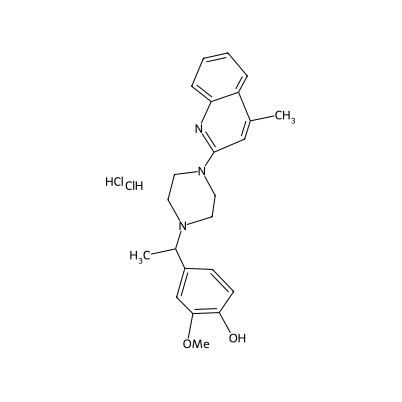 COc1cc(C(C)N2CCN(c3cc(C)c4ccccc4n3)CC2)ccc1O.Cl.Cl